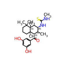 CNC(=S)N[C@@H]1C[C@H]2C(C)(C)CCC[C@]2(C)[C@@H](C(=O)c2cc(O)cc(O)c2)[C@@H]1C